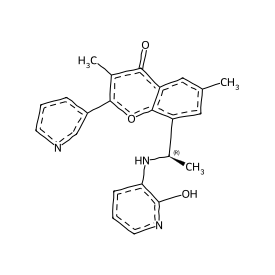 Cc1cc([C@@H](C)Nc2cccnc2O)c2oc(-c3cccnc3)c(C)c(=O)c2c1